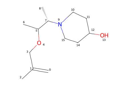 C=C(C)COC(C)[C@H](C)N1CCC(O)CC1